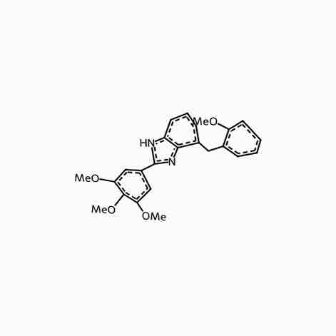 COc1ccccc1Cc1cccc2[nH]c(-c3cc(OC)c(OC)c(OC)c3)nc12